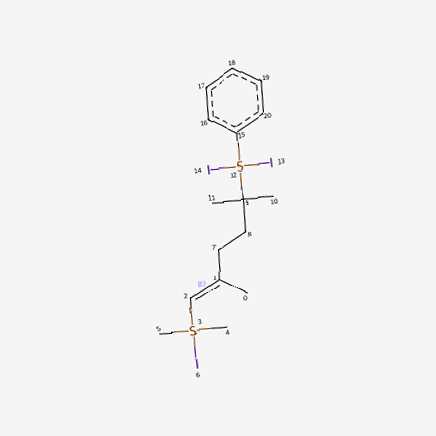 C/C(=C\S(C)(C)I)CCC(C)(C)S(I)(I)c1ccccc1